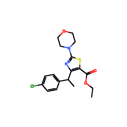 CCOC(=O)c1sc(N2CCOCC2)nc1C(C)c1ccc(Cl)cc1